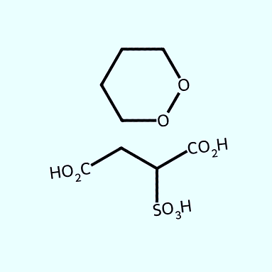 C1CCOOC1.O=C(O)CC(C(=O)O)S(=O)(=O)O